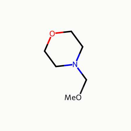 COCN1CCOCC1